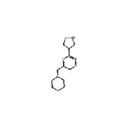 C1CCN(CC2CON=C(C3CCNC3)O2)CC1